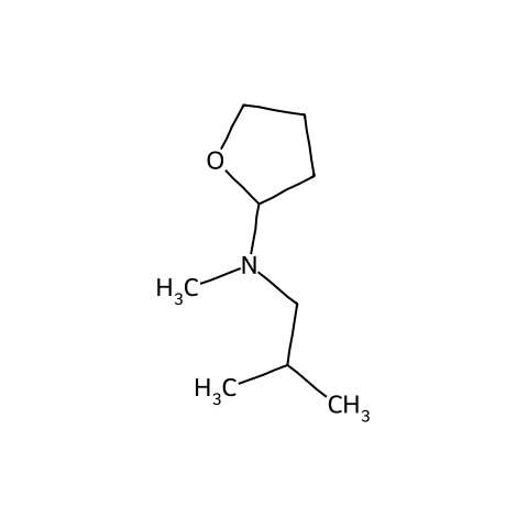 CC(C)CN(C)C1CCCO1